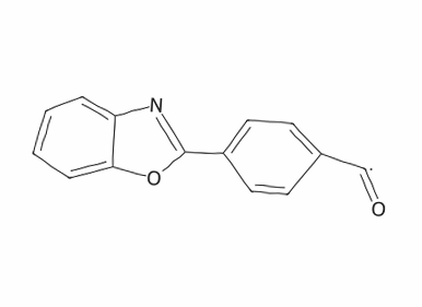 O=[C]c1ccc(-c2nc3ccccc3o2)cc1